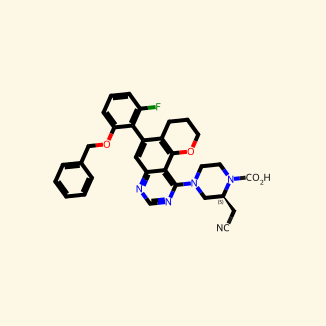 N#CC[C@H]1CN(c2ncnc3cc(-c4c(F)cccc4OCc4ccccc4)c4c(c23)OCCC4)CCN1C(=O)O